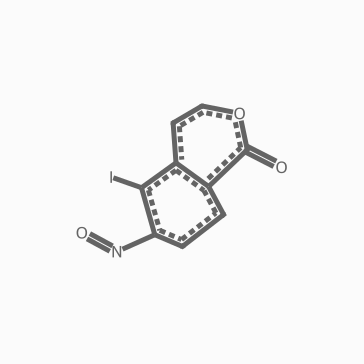 O=Nc1ccc2c(=O)occc2c1I